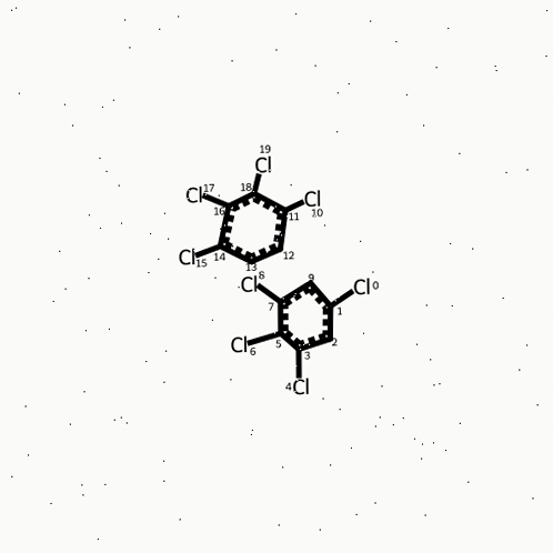 Clc1cc(Cl)c(Cl)c(Cl)c1.Clc1ccc(Cl)c(Cl)c1Cl